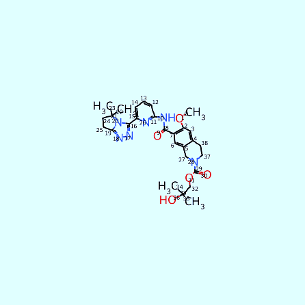 COc1cc2c(cc1C(=O)Nc1cccc(-c3nnc4n3C(C)(C)CC4)n1)CN(C(=O)OCC(C)(C)O)CC2